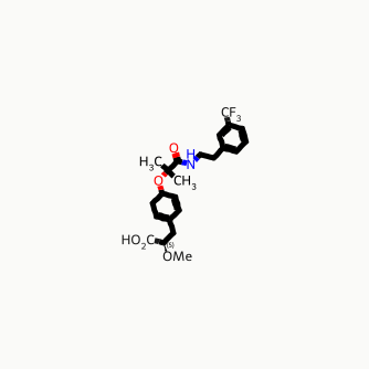 CO[C@@H](CC1=CCC(OC(C)(C)C(=O)NCCc2cccc(C(F)(F)F)c2)C=C1)C(=O)O